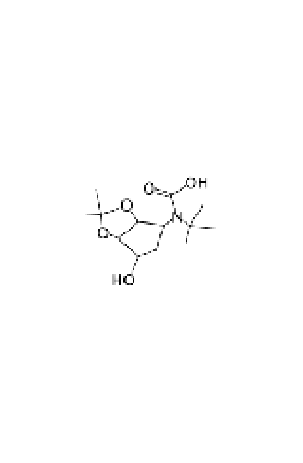 CC1(C)OC2C(O)CC(N(C(=O)O)C(C)(C)C)C2O1